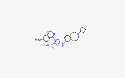 COc1cc2ncnc(-n3nc(Nc4ccc5c(c4)CCCN(C4CCCC4)CC5)nc3N)c2cc1OC